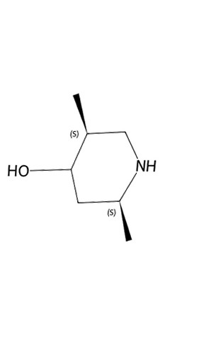 C[C@H]1CC(O)[C@@H](C)CN1